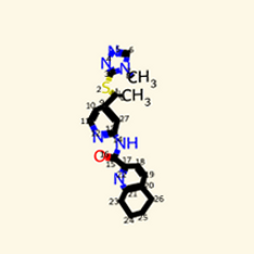 C[C@H](Sc1nncn1C)c1ccnc(NC(=O)c2ccc3c(n2)CCCC3)c1